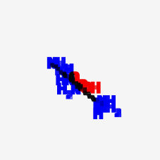 N=C(N)NCCCCCCC(O)CC(=O)C(N)CCC(=O)NCCCCNCCCN